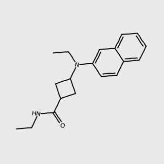 CCNC(=O)C1CC(N(CC)c2ccc3ccccc3c2)C1